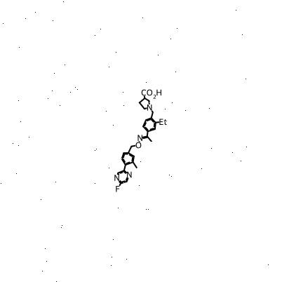 CCc1cc(/C(C)=N/OCc2ccc(-c3cnc(F)cn3)c(C)c2)ccc1CN1CCC(C(=O)O)C1